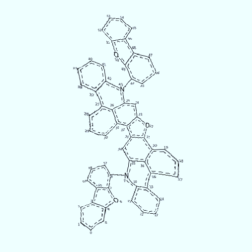 c1ccc2c(c1)oc1c(-n3c4ccccc4c4cccc5c6oc7cc8c9c(cccc9c7c6cc3c45)c3ccccc3n8-c3cccc4c3oc3ccccc34)cccc12